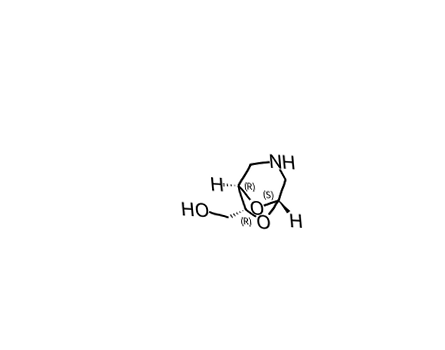 OC[C@H]1O[C@H]2CNC[C@H]1O2